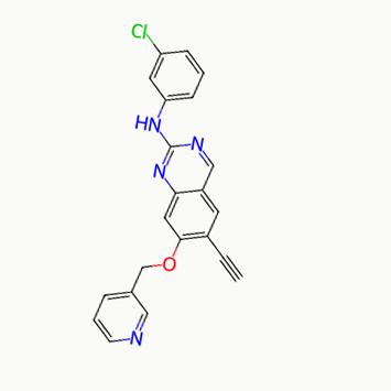 C#Cc1cc2cnc(Nc3cccc(Cl)c3)nc2cc1OCc1cccnc1